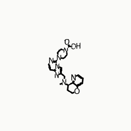 CN(Cc1cn2c(N3CCN(C(=O)O)CC3)nccc2n1)C1CCOc2cccnc21